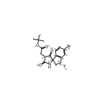 CC(C)(C)OC(=O)CN1C(=O)NC2(C[C@@H](F)c3cc(Br)ccc32)C1=O